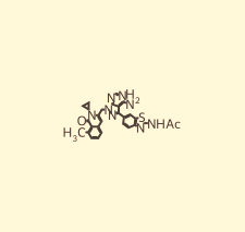 CC(=O)Nc1nc2ccc(-c3nn(Cc4cc5cccc(C)c5c(=O)n4C4CC4)c4ncnc(N)c34)cc2s1